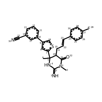 CN1C(=N)NC(C)(c2cc(-c3cccc(C#N)c3)cs2)C(C/C=C/c2ccc(F)cc2)C1=O